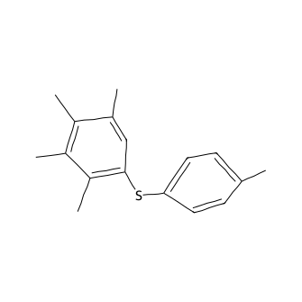 Cc1ccc(Sc2cc(C)c(C)c(C)c2C)cc1